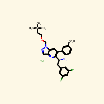 C[Si](C)(C)CCOCn1ncc2nc([C@@H](N)Cc3cc(F)cc(F)c3)c(-c3cccc(C(=O)O)c3)cc21.Cl